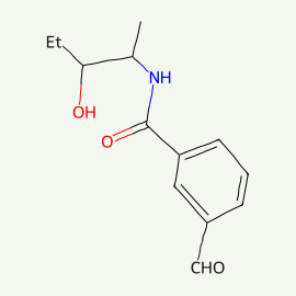 CCC(O)C(C)NC(=O)c1cccc(C=O)c1